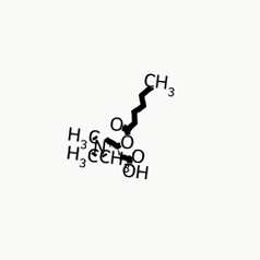 CCCCCCC(=O)O[C@H](CC(=O)O)C[N+](C)(C)C